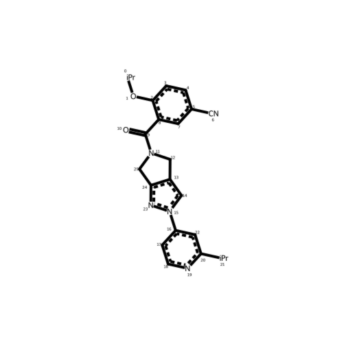 CC(C)Oc1ccc(C#N)cc1C(=O)N1Cc2cn(-c3ccnc(C(C)C)c3)nc2C1